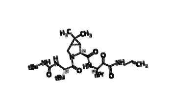 C=CCNC(=O)C(=O)[C@@H](CCC)NC(=O)[C@@H]1C2C(CN1C(=O)[C@@H](NC(=O)NC(C)(C)C)C(C)(C)C)C2(C)C